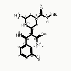 CC1CN(C(=O)NC(C)(C)C)C/C(=C(/C(=N)c2cccc(Cl)c2)C(N)=O)N1